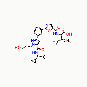 CC(C)C(NC(=O)c1cnc(-c2cccc(-c3cc(C(=O)NC(C4CC4)C4CC4)n(CCCO)n3)c2)o1)C(=O)O